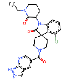 O=C(c1cnc2[nH]ncc2c1)N1CCC2(CC1)C(=O)N(C1CCCN(CC(F)(F)F)C1=O)c1cccc(Cl)c12